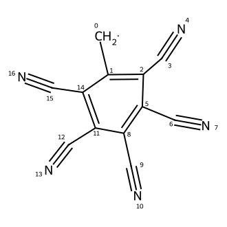 [CH2]c1c(C#N)c(C#N)c(C#N)c(C#N)c1C#N